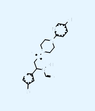 O=CN(O)C(CS(=O)(=O)N1CCN(c2ccc(Cl)cn2)CC1)c1cc(Br)cs1